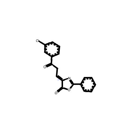 O=C1OC(c2ccccc2)=N/C1=C\CC(=O)c1cccc(Cl)c1